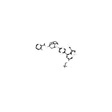 CC(C)(O)COc1cc(-c2cnc(N3C4CC5CC3CC(NC(=O)c3ncccc3F)(C5)C4)cn2)c2c(C#N)cnn2c1